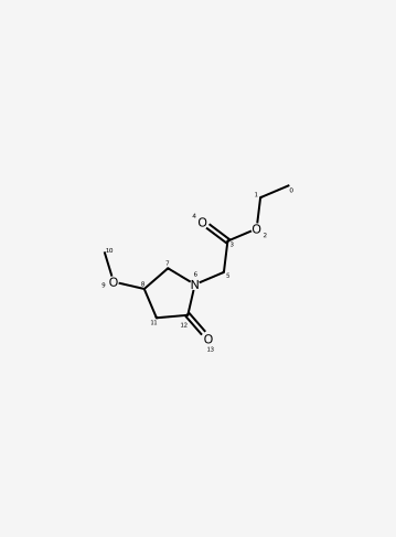 CCOC(=O)CN1CC(OC)CC1=O